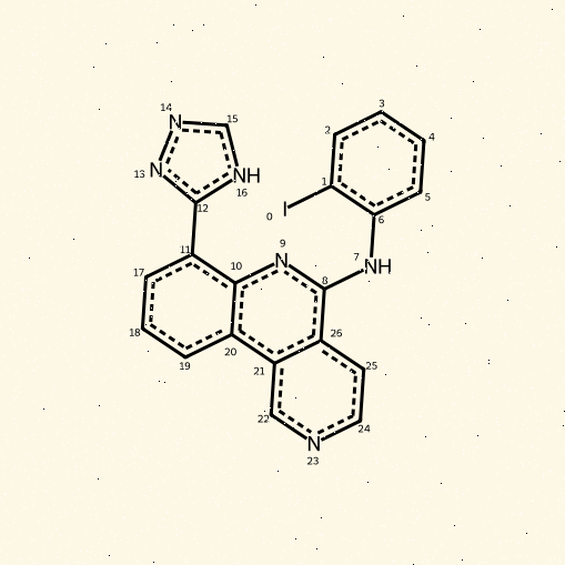 Ic1ccccc1Nc1nc2c(-c3nnc[nH]3)cccc2c2cnccc12